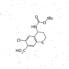 CC(C)(C)OC(=O)NC1CCSc2cc(C(=O)O)c(Cl)cc21